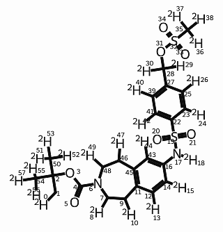 [2H]CC(OC(=O)N1C([2H])C([2H])c2c([2H])c([2H])c(N([2H])S(=O)(=O)c3c([2H])c([2H])c(C([2H])([2H])OS(=O)(=O)C([2H])([2H])[2H])c([2H])c3[2H])c([2H])c2C([2H])C1[2H])(C([2H])([2H])[2H])C([2H])([2H])[2H]